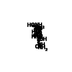 CC(C)C[C@H](NC(=O)[C@@H]1CCCN1C(=O)[C@@H](N)CO)C(=O)N[C@@H](CCCNC(N)=O)C(=O)O